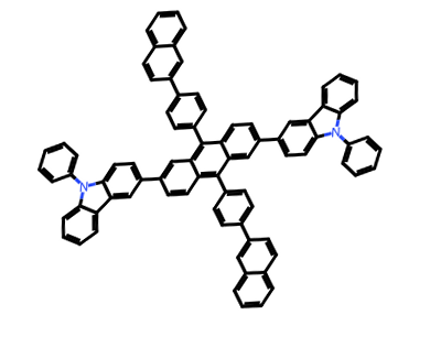 c1ccc(-n2c3ccccc3c3cc(-c4ccc5c(-c6ccc(-c7ccc8ccccc8c7)cc6)c6cc(-c7ccc8c(c7)c7ccccc7n8-c7ccccc7)ccc6c(-c6ccc(-c7ccc8ccccc8c7)cc6)c5c4)ccc32)cc1